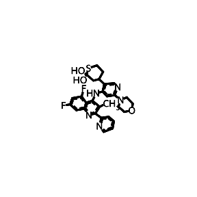 Cc1c(-c2ccccn2)nc2cc(F)cc(F)c2c1Nc1cc(N2CCOCC2)ncc1C1CCSC(O)(O)C1